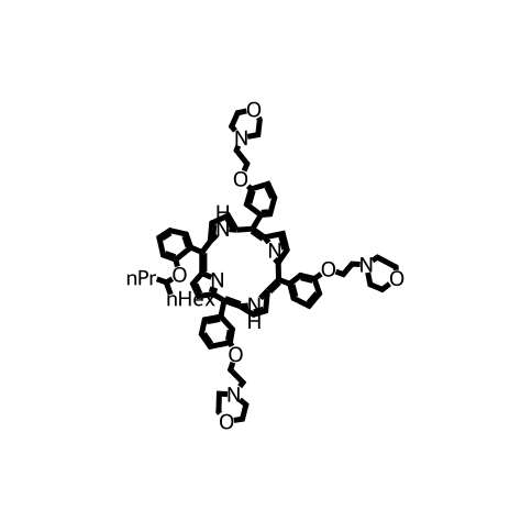 CCCCCCC(CCC)Oc1ccccc1-c1c2nc(c(-c3cccc(OCCN4CCOCC4)c3)c3ccc([nH]3)c(-c3cccc(OCCN4CCOCC4)c3)c3nc(c(-c4cccc(OCCN5CCOCC5)c4)c4ccc1[nH]4)C=C3)C=C2